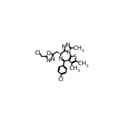 Cc1sc2c(c1C)C(c1ccc(Cl)cc1)=N[C@@H](Cc1nnc(CCl)o1)c1nnc(C)n1-2